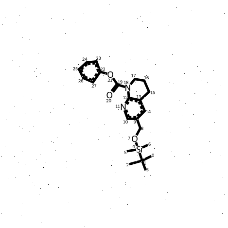 CC(C)(C)[Si](C)(C)OCc1cnc2c(c1)CCCN2C(=O)Oc1ccccc1